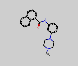 CN1CCN(c2cccc(NC(=O)c3cccc4ccccc34)c2)CC1